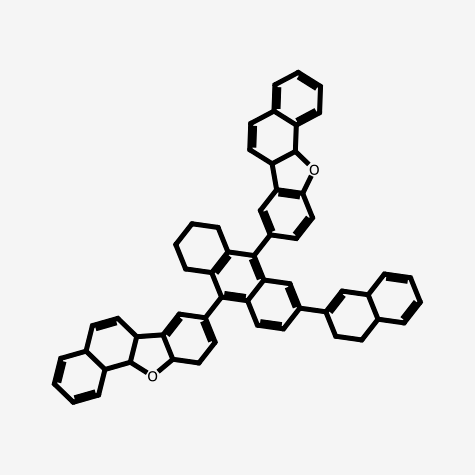 C1=CC2C=C(c3ccc4c(C5=CCC6OC7C(C=CC8C=CC=CC87)C6=C5)c5c(c(-c6ccc7c(c6)C6C=Cc8ccccc8C6O7)c4c3)CCCC5)CCC2C=C1